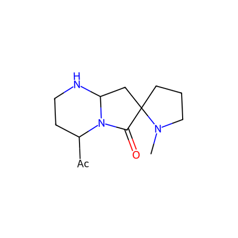 CC(=O)C1CCNC2CC3(CCCN3C)C(=O)N21